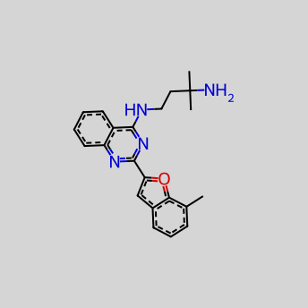 Cc1cccc2cc(-c3nc(NCCC(C)(C)N)c4ccccc4n3)oc12